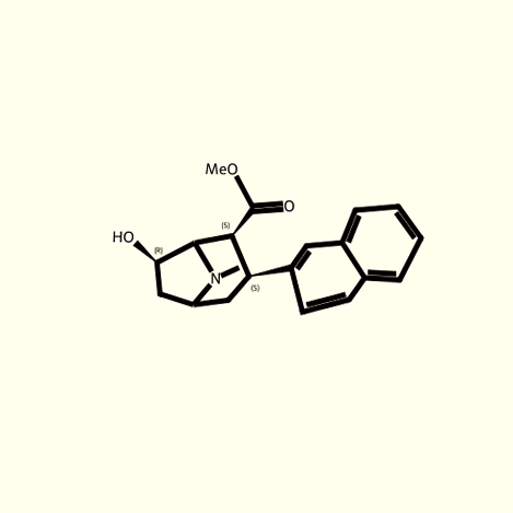 COC(=O)[C@@H]1C2[C@H](O)CC(C[C@@H]1c1ccc3ccccc3c1)N2C